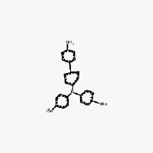 CC(C)(C)c1ccc(N(c2ccc(-c3ccc(N)cc3)cc2)c2ccc(C(C)(C)C)cc2)cc1